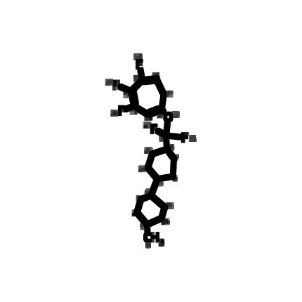 CC1CCC(C2CCC(C(F)(F)OC3=CC(F)=C(F)C(F)=CC3)CC2)CC1